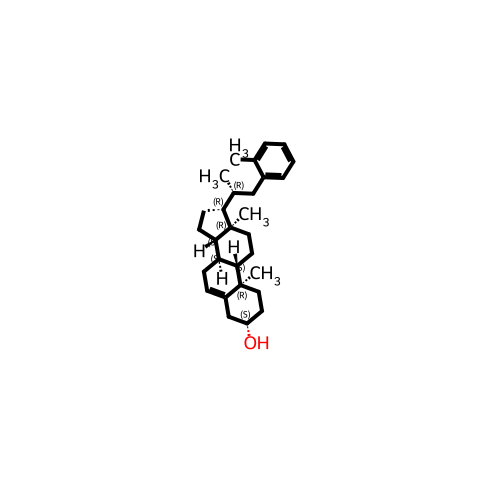 Cc1ccccc1C[C@@H](C)[C@H]1CC[C@H]2[C@@H]3CC=C4C[C@@H](O)CC[C@]4(C)[C@H]3CC[C@]12C